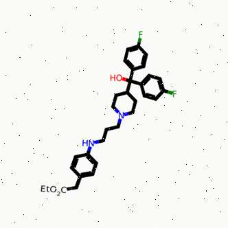 CCOC(=O)Cc1ccc(NCCCN2CCC(C(O)(c3ccc(F)cc3)c3ccc(F)cc3)CC2)cc1